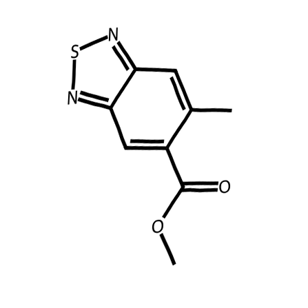 COC(=O)c1cc2nsnc2cc1C